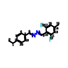 CCc1ccc(/C=N/N=C/c2c(F)cc(C)cc2F)cc1